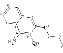 CCCOc1cc2ccccc2c(N)c1O